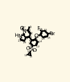 Cc1cc(-c2cc(S(=O)(=O)C3CC3)ccc2Oc2ccc(Br)cc2F)c2cc[nH]c2[n+]1[O-]